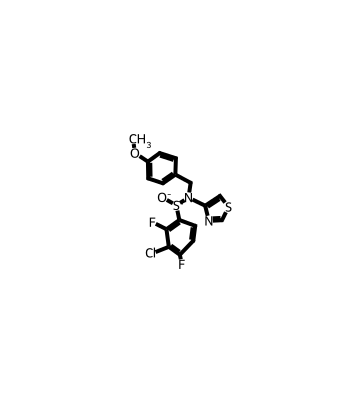 COc1ccc(CN(c2cscn2)[S+]([O-])c2ccc(F)c(Cl)c2F)cc1